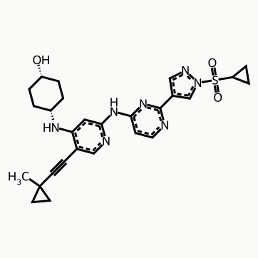 CC1(C#Cc2cnc(Nc3ccnc(-c4cnn(S(=O)(=O)C5CC5)c4)n3)cc2N[C@H]2CC[C@@H](O)CC2)CC1